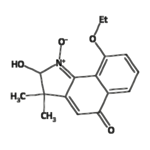 CCOc1cccc2c1C1=[N+]([O-])C(O)C(C)(C)C1=CC2=O